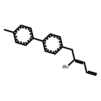 C=C/C=C(/Cc1ccc(-c2ccc(C)cc2)cc1)C(C)CC